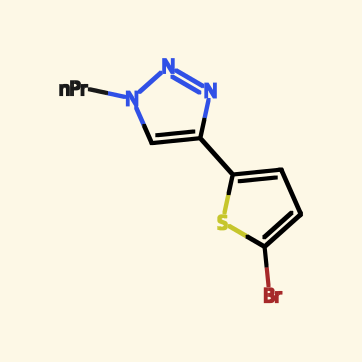 CCCn1cc(-c2ccc(Br)s2)nn1